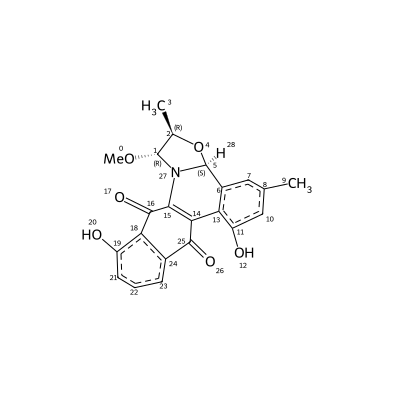 CO[C@@H]1[C@@H](C)O[C@H]2c3cc(C)cc(O)c3C3=C(C(=O)c4c(O)cccc4C3=O)N12